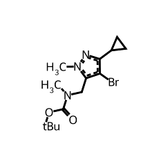 CN(Cc1c(Br)c(C2CC2)nn1C)C(=O)OC(C)(C)C